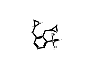 O=P(O)(O)c1cccc(CC2CO2)c1CC1CO1